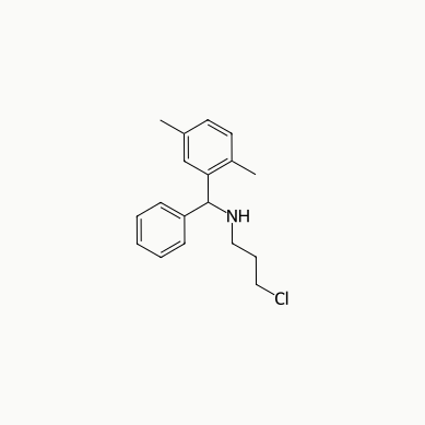 Cc1ccc(C)c(C(NCCCCl)c2ccccc2)c1